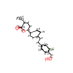 CCCCC1CCC(C2CCC(CCc3ccc(CO)c(F)c3)CC2)OC1=O